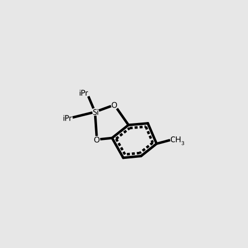 Cc1ccc2c(c1)O[Si](C(C)C)(C(C)C)O2